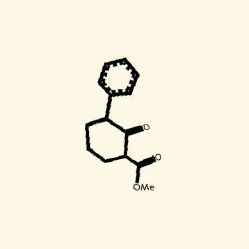 COC(=O)C1CCCC(c2ccccc2)C1=O